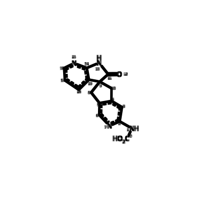 O=C(O)Nc1cc2c(cn1)CC1(C2)C(=O)Nc2ncccc21